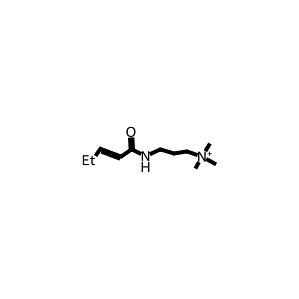 CCC=CC(=O)NCCC[N+](C)(C)C